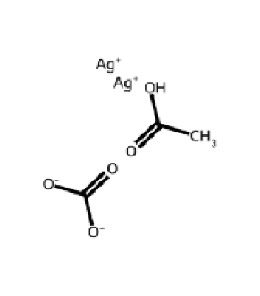 CC(=O)O.O=C([O-])[O-].[Ag+].[Ag+]